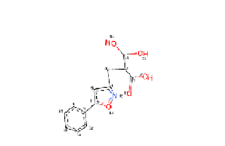 O=C(O)C(Cc1cc(-c2ccccc2)on1)C(O)O